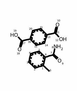 Cc1ccccc1C(N)=O.O=C(O)c1ccc(C(=O)O)cc1